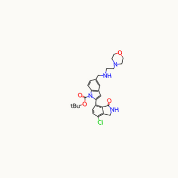 CC(C)(C)OC(=O)n1c(-c2ccc(Cl)c3c2C(=O)NC3)cc2cc(CNCCN3CCOCC3)ccc21